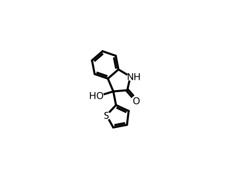 O=C1Nc2ccccc2C1(O)c1cccs1